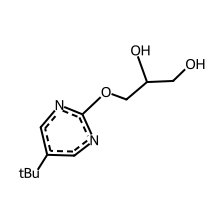 CC(C)(C)c1cnc(OCC(O)CO)nc1